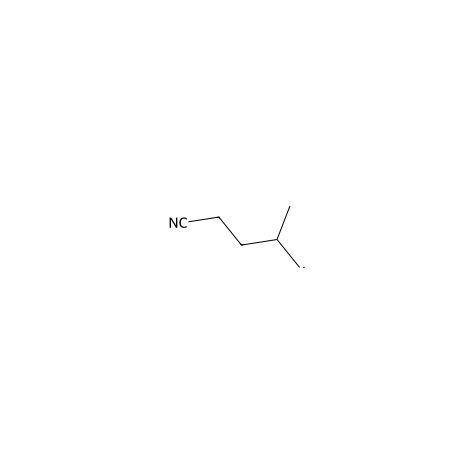 [CH2]C(C)CCC#N